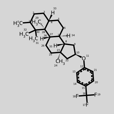 CC1CC[C@@H]2CC[C@H]3[C@@H]4C[C@@H](Oc5ccc(C(F)(F)F)cc5)C[C@@]4(C)CC[C@@H]3[C@@]2(C)C1(C)C